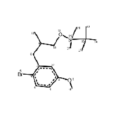 COc1ccc(Br)c(CC(C)CO[Si](C)(C)C(C)(C)C)c1